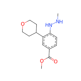 CNNc1ccc(C(=O)OC)cc1C1CCOCC1